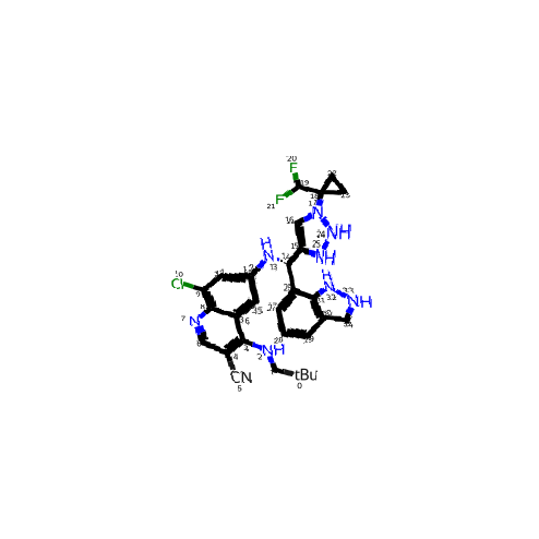 CC(C)(C)CNc1c(C#N)cnc2c(Cl)cc(N[C@H](C3=CN(C4(C(F)F)CC4)NN3)c3cccc4c3NNC4)cc12